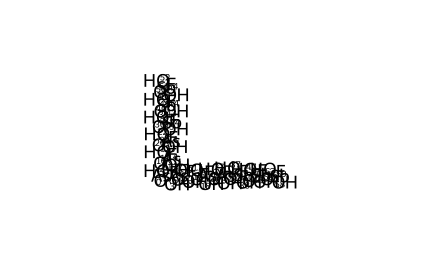 O=[As](O)(O)F.O=[As](O)(O)F.O=[As](O)(O)F.O=[As](O)(O)F.O=[As](O)(O)F.O=[As](O)(O)F.[O]=[Sb]([OH])([OH])[F].[O]=[Sb]([OH])([OH])[F].[O]=[Sb]([OH])([OH])[F].[O]=[Sb]([OH])([OH])[F].[O]=[Sb]([OH])([OH])[F].[O]=[Sb]([OH])([OH])[F]